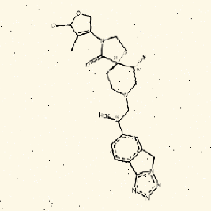 CC1=C(N2CC[C@]3(CCN(C[C@H](O)c4ccc5c(c4)Cn4nnnc4-5)C[C@H]3F)C2=O)COC1=O